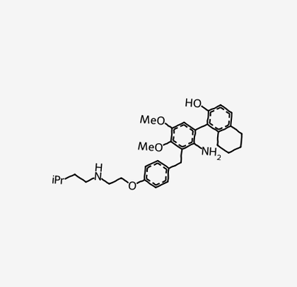 COc1cc(-c2c(O)ccc3c2CCCC3)c(N)c(Cc2ccc(OCCNCCC(C)C)cc2)c1OC